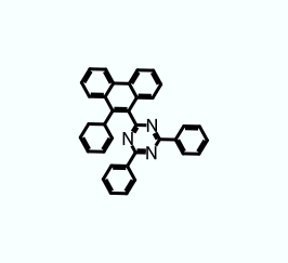 C1=CCC(c2c(-c3nc(-c4ccccc4)nc(-c4ccccc4)n3)c3ccccc3c3ccccc23)C=C1